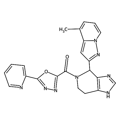 Cc1cccn2nc(C3c4nc[nH]c4CCN3C(=O)c3nnc(-c4ccccn4)o3)cc12